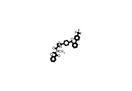 CN(C(=O)c1csc(C2CCC(C(=O)c3ccccc3-c3ccc(C(F)(F)F)cc3)CC2)n1)c1coc2ccccc2c1=O